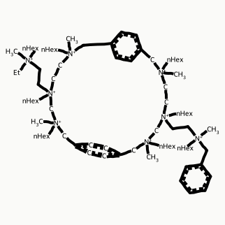 CCCCCC[N+](C)(CC)CC[N+]1(CCCCCC)CC[N+](C)(CCCCCC)Cc2ccc(cc2)C[N+](C)(CCCCCC)CC[N+](CCCCCC)(CC[N+](C)(CCCCCC)Cc2ccccc2)C[N+](C)(CCCCCC)Cc2ccc(cc2)C[N+](C)(CCCCCC)C1